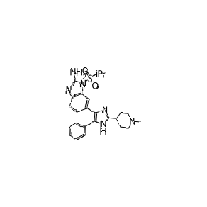 CC(C)S(=O)(=O)n1c(N)nc2ccc(-c3nc(C4CCN(C)CC4)[nH]c3-c3ccccc3)cc21